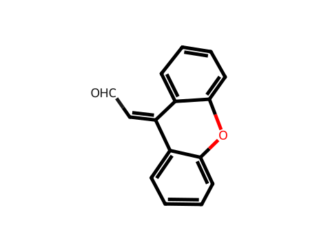 O=CC=C1c2ccccc2Oc2ccccc21